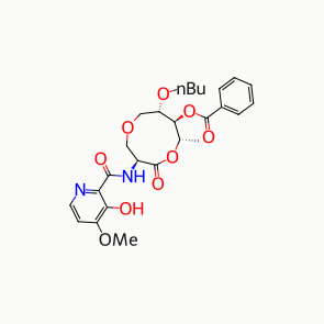 CCCCO[C@H]1COC[C@H](NC(=O)c2nccc(OC)c2O)C(=O)O[C@@H](C)[C@@H]1OC(=O)c1ccccc1